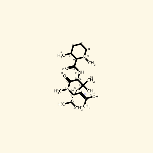 C/C(O)=C\[C@H](C(C)C)N(C)C(=O)[C@@H](NC(=O)C1C(C)CCCN1C)C(C)(C)C